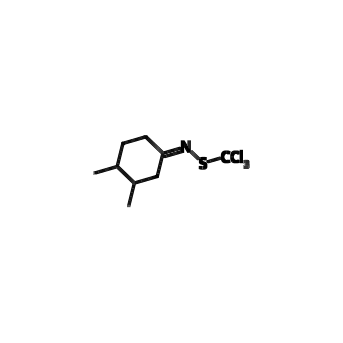 CC1CCC(=NSC(Cl)(Cl)Cl)CC1C